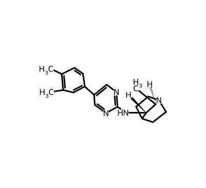 Cc1ccc(-c2cnc(N[C@H]3C4CCN(CC4)[C@@H]3C)nc2)cc1C